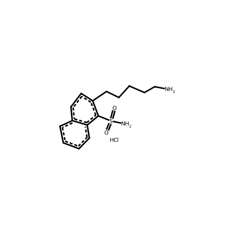 Cl.NCCCCCc1ccc2ccccc2c1S(N)(=O)=O